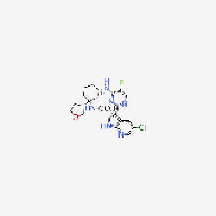 O=C(O)NC1(C2CCOC2)CCC[C@H](Nc2nc(-c3c[nH]c4ncc(Cl)cc34)ncc2F)C1